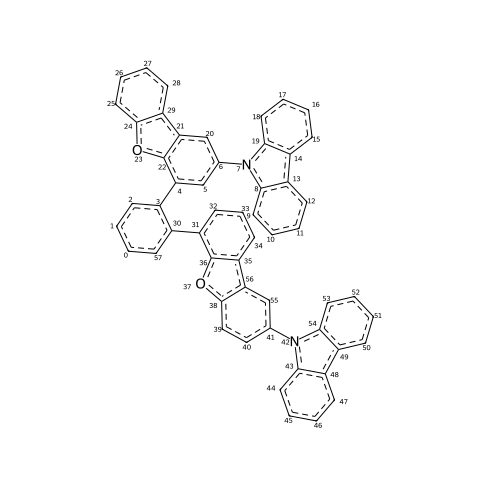 c1ccc(-c2cc(-n3c4ccccc4c4ccccc43)cc3c2oc2ccccc23)c(-c2cccc3c2oc2ccc(-n4c5ccccc5c5ccccc54)cc23)c1